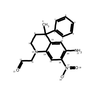 CC1(c2ccccc2)CCN(CC=O)c2cc([N+](=O)[O-])c(N)cc21